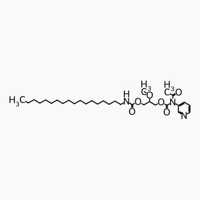 CCCCCCCCCCCCCCCCCCNC(=O)OCC(COC(=O)N(C(C)=O)c1cccnc1)OC